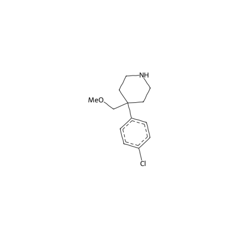 COCC1(c2ccc(Cl)cc2)CCNCC1